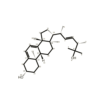 C[C@H](C=C[C@H](C)C(C)(C)O)[C@H]1CC[C@H]2C3=CC=C4C[C@@H](O)CC[C@]4(C)[C@H]3CC[C@]12C